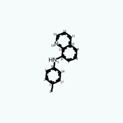 Cc1ccc(Nc2cccc3cccnc23)cc1